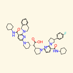 O=C(NC1CCCCC1)c1ccc(N2CCC[C@@H](C(C(=O)O)[C@@H]3CCCN(c4ccc(C(=O)NC5CCCCC5)c(N5CCC(c6ccc(F)cc6)C5)n4)C3)C2)nc1N1CCc2ccccc2C1